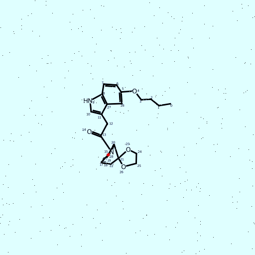 CCCCOc1ccc2[nH]cc(CC(=O)N3CC4C=CC3C3(C4)OCCO3)c2c1